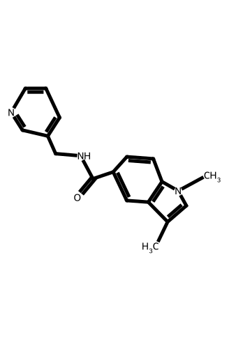 Cc1cn(C)c2ccc(C(=O)NCc3cccnc3)cc12